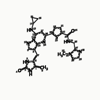 C=c1[nH]c(=O)[nH]/c1=C\c1cnn2c(NC3CC3)cc(-c3ccc(C(=O)NCc4nccn4C)s3)nc12